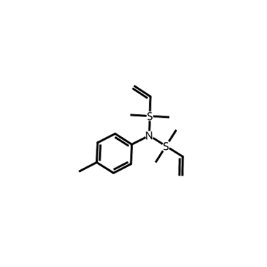 C=CS(C)(C)N(c1ccc(C)cc1)S(C)(C)C=C